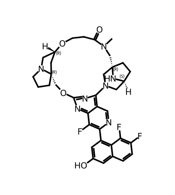 CN1C[C@@]23CC[C@@H](CN(C2)c2nc(nc4c(F)c(-c5cc(O)cc6ccc(F)c(F)c56)ncc24)OC[C@]24CCCN2C[C@@H](C4)OCCC1=O)N3